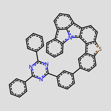 c1ccc(-c2nc(-c3ccccc3)nc(-c3cccc(-c4ccc5sc6ccc7c8cccc9c%10ccccc%10n(c98)c7c6c5c4)c3)n2)cc1